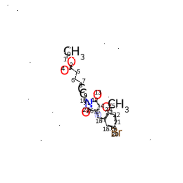 CCOC(=O)CCCCCCN1C(=O)C/C(=C\c2cc(Br)ccc2OC)C1=O